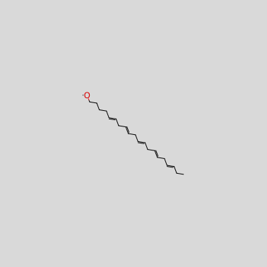 CCC=CCC=CCC=CCC=CCC=CCCCC[O]